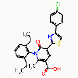 CCc1cccc(CC)c1-n1c(C)c(C(=O)O)cc(-c2nc(-c3ccc(Cl)cc3)cs2)c1=O